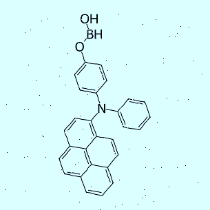 OBOc1ccc(N(c2ccccc2)c2ccc3ccc4cccc5ccc2c3c45)cc1